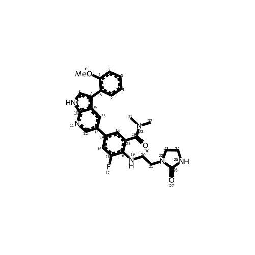 COc1ccccc1-c1c[nH]c2ncc(-c3cc(F)c(NCCN4CCNC4=O)c(C(=O)N(C)C)c3)cc12